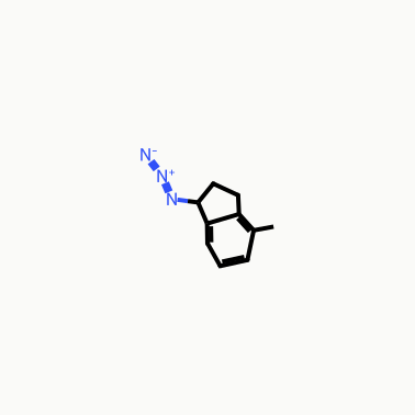 Cc1cccc2c1CCC2N=[N+]=[N-]